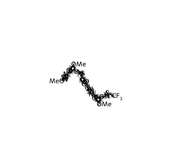 COc1cc(OCc2csc(-c3ccc4c(c3)OC(COc3nn5cc(-c6cc7c(OCc8csc(CCC(F)(F)F)n8)cc(OC)cc7o6)nc5s3)O4)n2)c2cc(-c3cn4nc(OC)sc4n3)oc2c1